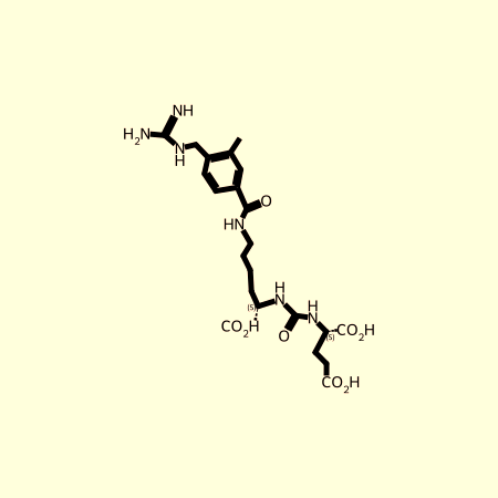 Cc1cc(C(=O)NCCCC[C@H](NC(=O)N[C@@H](CCC(=O)O)C(=O)O)C(=O)O)ccc1CNC(=N)N